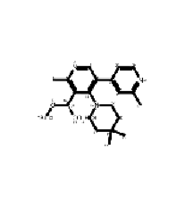 Cc1cc(-c2cnc(C)c([C@H](OC(C)(C)C)C(=O)O)c2N2CCC(C)(C)CC2)ccn1